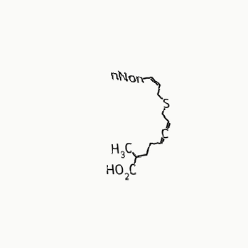 CCCCCCCCC/C=C\CSCC=C=CCCC(C)C(=O)O